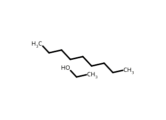 CCCCCCCCC.CCO